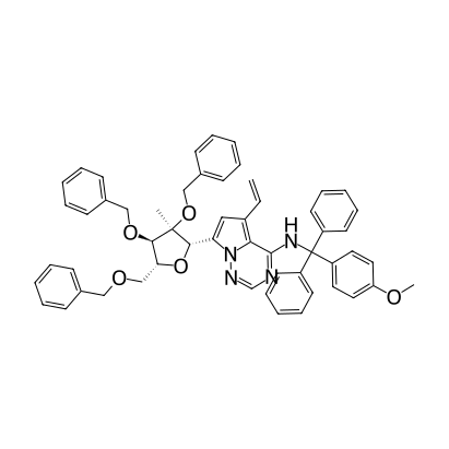 C=Cc1cc([C@@H]2O[C@H](COCc3ccccc3)[C@@H](OCc3ccccc3)[C@@]2(C)OCc2ccccc2)n2ncnc(NC(c3ccccc3)(c3ccccc3)c3ccc(OC)cc3)c12